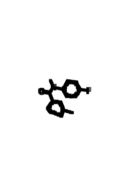 Cc1cccc(C(=O)N(C)c2ccc(F)cc2)c1